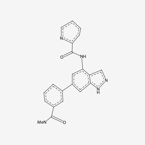 CNC(=O)c1cccc(-c2cc(NC(=O)c3ccccn3)c3cn[nH]c3c2)c1